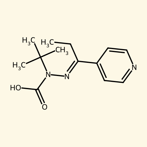 CCC(=NN(C(=O)O)C(C)(C)C)c1ccncc1